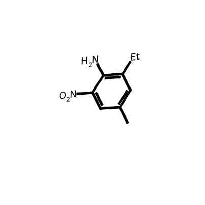 CCc1cc(C)cc([N+](=O)[O-])c1N